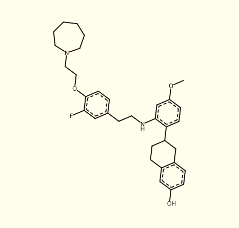 COc1ccc(C2CCc3cc(O)ccc3C2)c(NCCc2ccc(OCCN3CCCCCC3)c(F)c2)c1